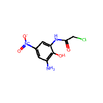 Nc1cc([N+](=O)[O-])cc(NC(=O)CCl)c1O